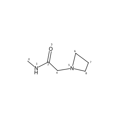 CNC(=O)CN1CCC1